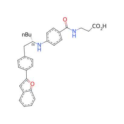 CCCC[C@@H](Cc1ccc(-c2cc3ccccc3o2)cc1)Nc1ccc(C(=O)NCCC(=O)O)cc1